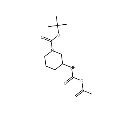 C=C(C)OC(=O)NC1CCCN(C(=O)OC(C)(C)C)C1